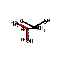 CCCCCCCCCCCCC(CCCCCCCCCCCCCCCCO)(CCCCCCCCC(CCCCCC)C(O)(CCCCCCCCCCCCCCCCCCO)CCCCCCCCCCCCCCCCC(C)O)C(O)(CCCCCCCCCCCCCCO)CCCCCCCCCCCCCCCCO